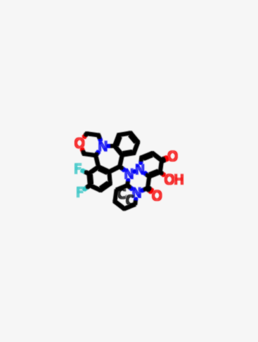 O=C1c2c(O)c(=O)ccn2N(C2c3ccccc3N3CCOCC3c3c2ccc(F)c3F)C2C3CCC(CC3)N12